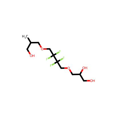 CC(CO)COCC(F)(F)C(F)(F)COCC(O)CO